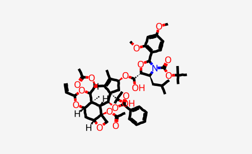 C=CC1O[C@H]2C[C@H]3OC[C@@]3(OC(C)=O)[C@H]3[C@H](OC(=O)c4ccccc4)[C@]4(C(C)(C)O)C[C@H](OC(O)[C@@H]5OC(c6ccc(OC)cc6OC)N(C(=O)OC(C)(C)C)[C@H]5CC(C)C)C(C)=C4[C@H](OC(C)=O)[C@H](O1)[C@]23C